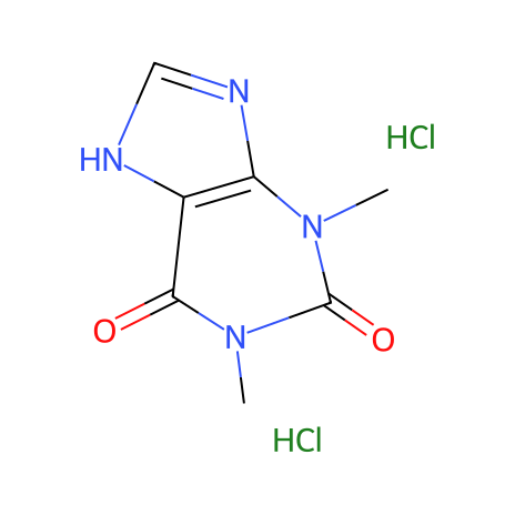 Cl.Cl.Cn1c(=O)c2[nH]cnc2n(C)c1=O